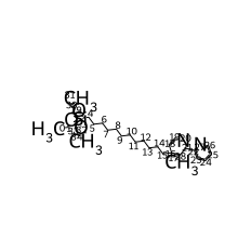 CCO[Si](CCCCCCCCCCCCC1(C)C=CN=C(c2ccccn2)C1)(OCC)OCC